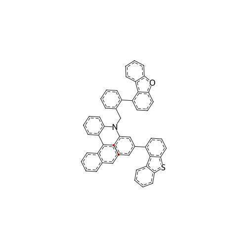 c1cc(-c2cccc3sc4ccccc4c23)cc(N(Cc2ccccc2-c2cccc3oc4ccccc4c23)c2ccccc2-c2cccc3ccccc23)c1